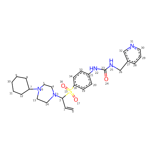 C=CC(N1CCN(C2CCCCC2)CC1)S(=O)(=O)c1ccc(NC(=O)NCc2cccnc2)cc1